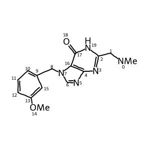 CNCc1nc2ncn(Cc3cccc(OC)c3)c2c(=O)[nH]1